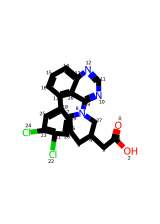 O=C(O)CC1CCCN(c2ncnc3cccc(-c4ccc(Cl)c(Cl)c4)c23)C1